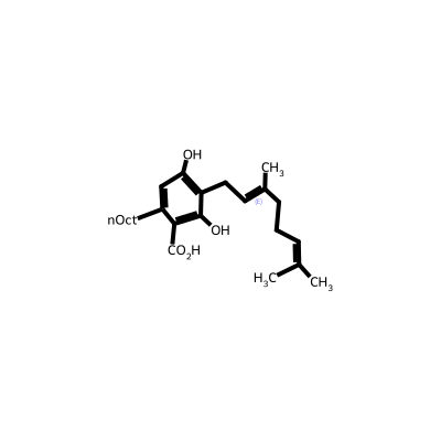 CCCCCCCCc1cc(O)c(C/C=C(\C)CCC=C(C)C)c(O)c1C(=O)O